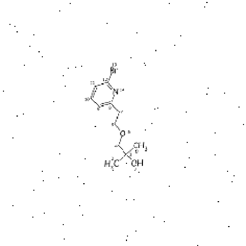 CC(C)(O)COCCc1cccc(Br)n1